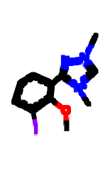 COc1c(I)cccc1-c1nn(C)c[n+]1C